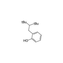 CC(C)(C)C(Cc1ccccc1O)C(C)(C)C